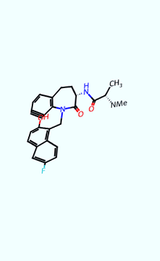 CN[C@@H](C)C(=O)N[C@H]1CCc2ccc#cc2N(Cc2c(O)ccc3cc(F)ccc23)C1=O